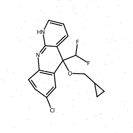 FC(F)C1(OCC2CC2)C2=CC=CNC2=Nc2ccc(Cl)cc21